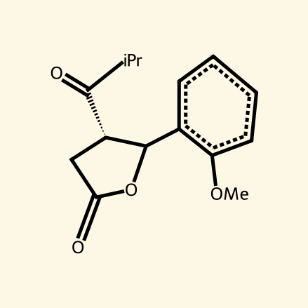 COc1ccccc1C1OC(=O)C[C@@H]1C(=O)C(C)C